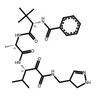 CC(C)[C@H](NC(=O)[C@H](C)NC(=O)[C@@H](NC(=O)c1ccccc1)C(C)(C)C)C(=O)C(=O)NCC1C=NNC1